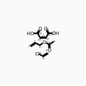 C=CCOC(C)=O.C=CCl.O=C(O)/C=C\C(=O)O